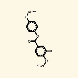 CCCCCCCCOc1ccc(OC(=O)c2ccc(OCCCCCCCC)c(F)c2)cc1